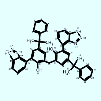 CC(C)(c1ccccc1)c1cc(Cc2cc(C(C)(C)c3ccccc3)cc(-c3cccc4[nH]nnc34)c2O)c(O)c(-c2cccc3[nH]nnc23)c1